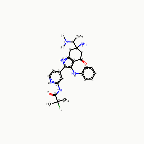 CCN(CC)C(OC)C1(N)CC(=O)c2c([nH]c(-c3ccnc(NC(=O)C(C)(C)F)c3)c2Nc2ccccc2)C1